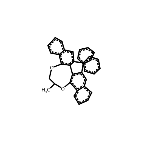 CC1COc2c(c(-c3ccccc3)cc3ccccc23)-c2c(-c3ccccc3)cc3ccccc3c2O1